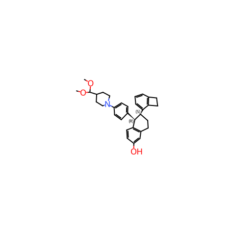 COC(OC)C1CCN(c2ccc([C@@H]3c4ccc(O)cc4CC[C@@H]3c3cccc4c3CC4)cc2)CC1